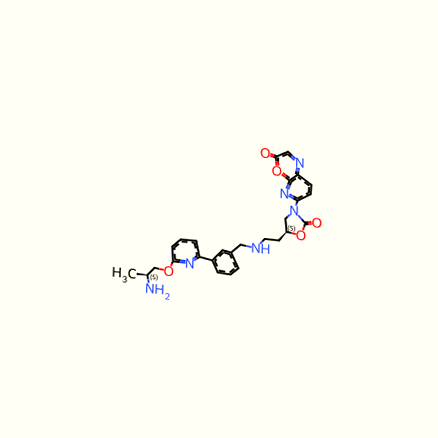 C[C@H](N)COc1cccc(-c2cccc(CNCC[C@H]3CN(c4ccc5ncc(=O)oc5n4)C(=O)O3)c2)n1